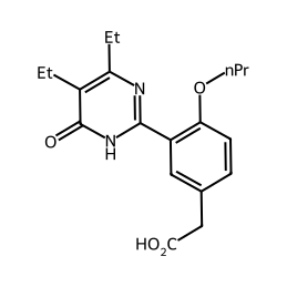 CCCOc1ccc(CC(=O)O)cc1-c1nc(CC)c(CC)c(=O)[nH]1